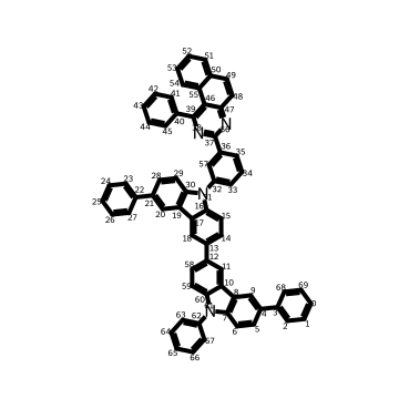 c1ccc(-c2ccc3c(c2)c2cc(-c4ccc5c(c4)c4cc(-c6ccccc6)ccc4n5-c4cccc(-c5nc(-c6ccccc6)c6c(ccc7ccccc76)n5)c4)ccc2n3-c2ccccc2)cc1